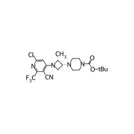 C[C@@H]1[C@H](N2CCN(C(=O)OC(C)(C)C)CC2)CN1c1cc(Cl)nc(C(F)(F)F)c1C#N